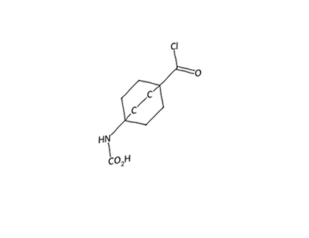 O=C(O)NC12CCC(C(=O)Cl)(CC1)CC2